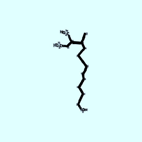 CCCCCCCCCCCCCCCCCCC(C)=C(CC(=O)O)C(=O)O